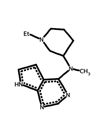 CCN1CCCC(N(C)c2ncnc3[nH]ccc23)C1